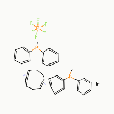 C1=C\CC/C=C\CC/1.CP(c1ccccc1)c1ccccc1.CP(c1ccccc1)c1ccccc1.F[P-](F)(F)(F)(F)F.[Ir]